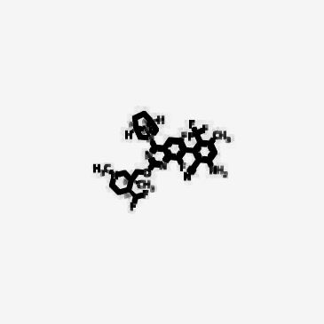 Cc1cc(N)c(C#N)c(-c2c(F)cc3c(N4C[C@H]5CC[C@@H](C4)N5)nc(OC[C@]4(C)CN(C)CC[C@@H]4C(F)F)nc3c2F)c1C(F)(F)F